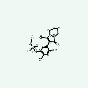 O=c1c(-c2cc(NS(=O)(=O)CCl)c(Cl)cc2F)c(Cl)n2n1CCCC2